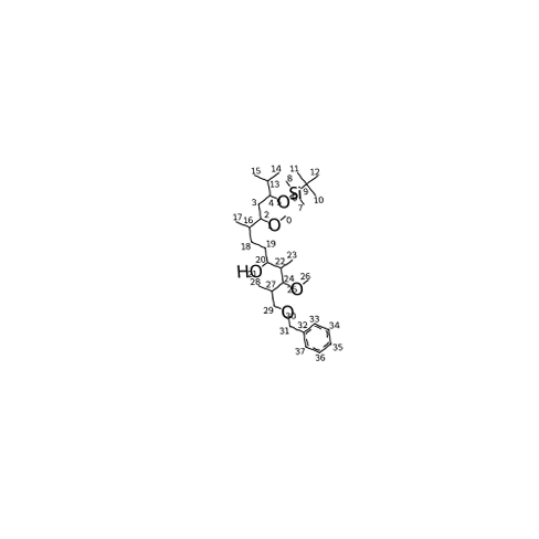 COC(CC(O[Si](C)(C)C(C)(C)C)C(C)C)C(C)CCC(O)C(C)C(OC)C(C)COCc1ccccc1